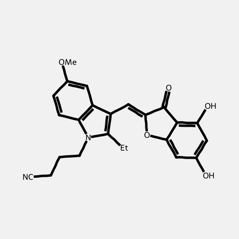 CCc1c(C=C2Oc3cc(O)cc(O)c3C2=O)c2cc(OC)ccc2n1CCCC#N